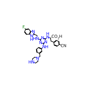 N#Cc1ccc(C[C@H](Nc2nc(NCc3nc4cc(F)ccc4[nH]3)nc(Nc3cccc(CN4CCNCC4)c3)n2)C(=O)O)cc1